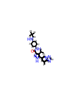 Cc1cc(-c2[nH]nc(C(=O)N[C@H]3CC[C@H](NCC(C)(C)C)CC3)c2C(C)C)cn2ncnc12